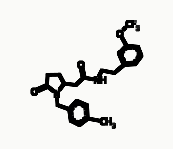 Cc1ccc(CN2C(=O)CCC2CC(=O)NCCc2cccc(OC(F)(F)F)c2)cc1